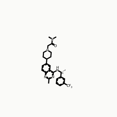 Cc1nc(N[C@H](C)c2cccc(C(F)(F)F)c2)c2cc(C3CCN(CC(=O)N(C)C)CC3)ccc2n1